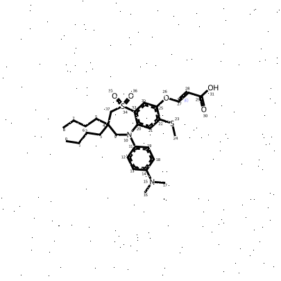 CCCCC1(CCCC)CN(c2ccc(N(C)C)cc2)c2cc(SC)c(O/C=C/C(=O)O)cc2S(=O)(=O)C1